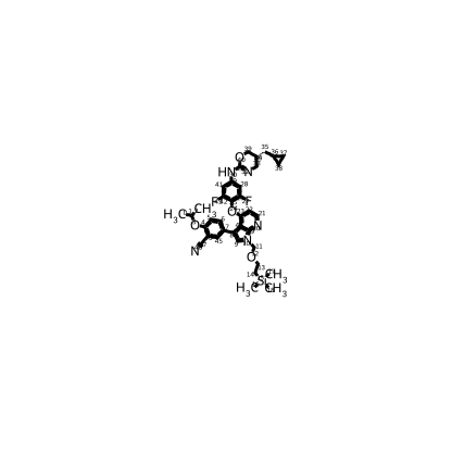 CC(C)Oc1ccc(-c2cn(COCC[Si](C)(C)C)c3nccc(Oc4c(F)cc(NC5=NC[C@@H](CC6CC6)CO5)cc4F)c23)cc1C#N